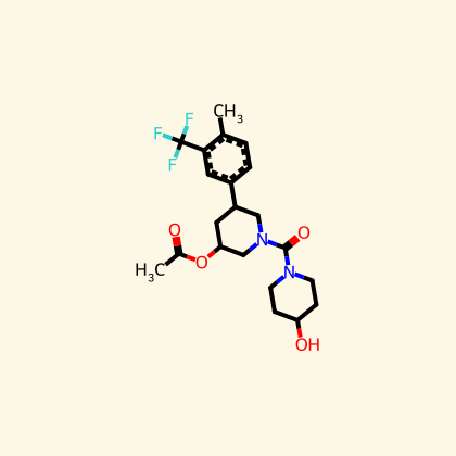 CC(=O)OC1CC(c2ccc(C)c(C(F)(F)F)c2)CN(C(=O)N2CCC(O)CC2)C1